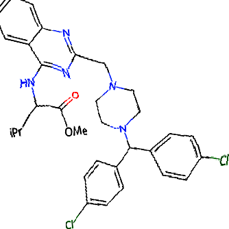 COC(=O)C(Nc1nc(CN2CCN(C(c3ccc(Cl)cc3)c3ccc(Cl)cc3)CC2)nc2ccccc12)C(C)C